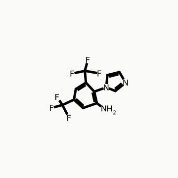 Nc1cc(C(F)(F)F)cc(C(F)(F)F)c1-n1ccnc1